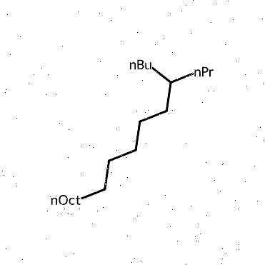 [CH2]CCC(CCCC)CCCCCCCCCCCCC